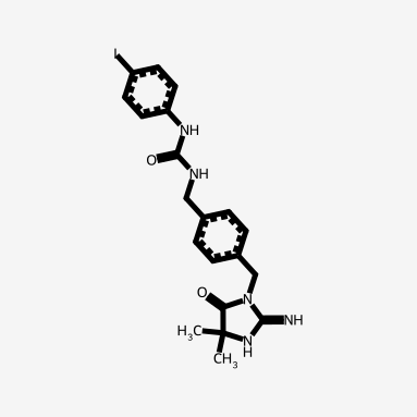 CC1(C)NC(=N)N(Cc2ccc(CNC(=O)Nc3ccc(I)cc3)cc2)C1=O